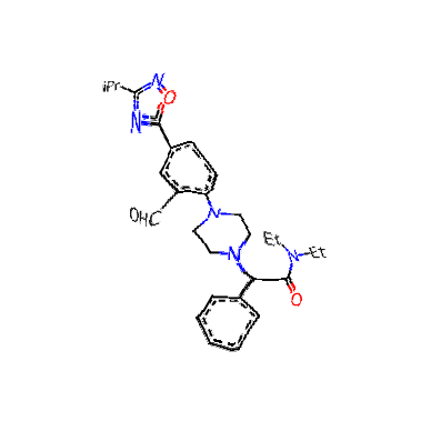 CCN(CC)C(=O)C(c1ccccc1)N1CCN(c2ccc(-c3nc(C(C)C)no3)cc2C=O)CC1